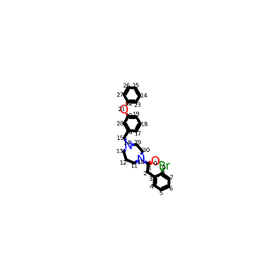 O=C(Cc1ccccc1Br)N1CCCN(Cc2cccc(Oc3ccccc3)c2)CC1